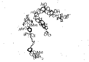 C1CN1c1nc(N2CC2)nc(N2CC2)n1.CN(C)N.COc1ccc(CCN(C)CCCC(C#N)(c2ccc(OC)c(OC)c2)C(C)C)cc1OC.C[C@H]1O[C@@H](O[C@H]2[C@@H](O)C[C@H](O[C@H]3[C@@H](O)C[C@H](O[C@H]4CC[C@@]5(C)[C@H](CC[C@@H]6[C@@H]5CC[C@]5(C)[C@@H](C7=CC(=O)OC7)CC[C@]65O)C4)O[C@@H]3C)O[C@@H]2C)C[C@H](O)[C@@H]1O.C[S+](C)[O-].S=P(N1CC1)(N1CC1)N1CC1